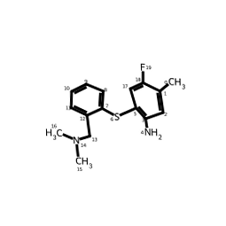 Cc1cc(N)c(Sc2ccccc2CN(C)C)cc1F